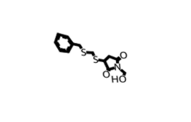 O=C1CC(SCSCc2ccccc2)C(=O)N1CO